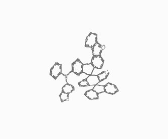 c1ccc(N(c2ccc3c(c2)C2(c4ccccc4C4(c5ccccc5-c5ccccc54)c4ccccc42)c2ccc4oc5ccccc5c4c2-3)c2ccc3occc3c2)cc1